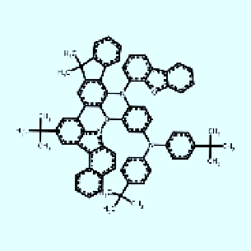 CC(C)(C)c1ccc(N(c2ccc(C(C)(C)C)cc2)c2ccc3c(c2)B2c4c(cc5c(c4N3c3cccc4c3oc3ccccc34)-c3ccccc3C5(C)C)-c3cc(C(C)(C)C)cc4c5c6ccccc6ccc5n2c34)cc1